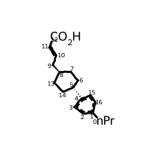 CCCc1ccc([C@H]2CC[C@H](C/C=C/C(=O)O)CC2)cc1